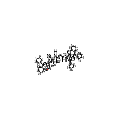 C=CC1(C(=O)OC(c2ccccc2)c2ccccc2)CS[C@@H]2C(NC(=O)CCCC(NC(=O)c3ccccc3)C(=O)OC(c3ccccc3)c3ccccc3)C(=O)N2C1